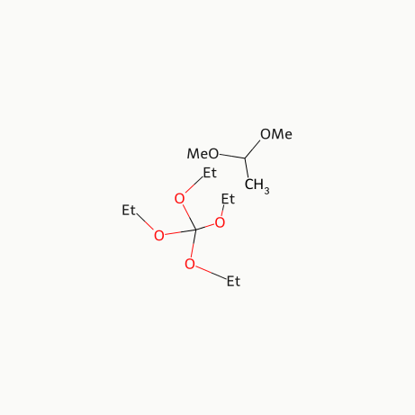 CCOC(OCC)(OCC)OCC.COC(C)OC